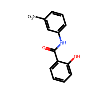 O=C(Nc1cccc([N+](=O)[O-])c1)c1c[c]ccc1O